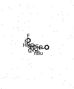 CCCC[C@H](CN(C=O)OCc1ccccc1)C(=O)N1CCCC1C(=O)Nc1ccc(F)cn1